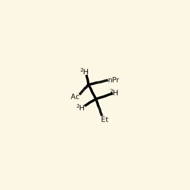 [2H]C([2H])(CC)C([2H])(CCC)C(C)=O